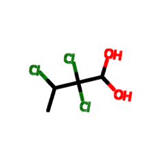 CC(Cl)C(Cl)(Cl)C(O)O